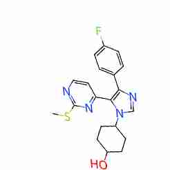 CSc1nccc(-c2c(-c3ccc(F)cc3)ncn2C2CCC(O)CC2)n1